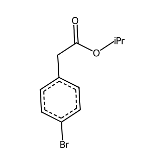 CC(C)OC(=O)Cc1ccc(Br)cc1